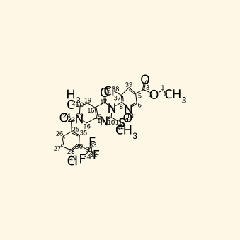 CCOC(=O)c1cnc(-n2c([S+](C)[O-])nc3c(c2=O)C[C@@H](C)N(C(=O)c2ccc(Cl)c(C(F)(F)F)c2)C3)c(Cl)c1